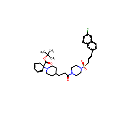 CC(C)(C)OC(=O)C1(N2CCC(CCC(=O)N3CCN(S(=O)(=O)CC=Cc4ccc5cc(Cl)ccc5c4)CC3)CC2)C=CC=CC1